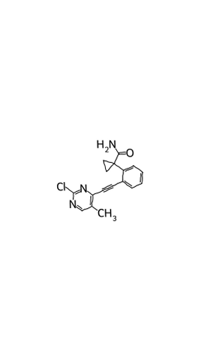 Cc1cnc(Cl)nc1C#Cc1ccccc1C1(C(N)=O)CC1